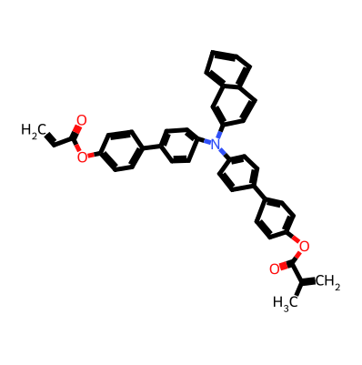 C=CC(=O)Oc1ccc(-c2ccc(N(c3ccc(-c4ccc(OC(=O)C(=C)C)cc4)cc3)c3ccc4ccccc4c3)cc2)cc1